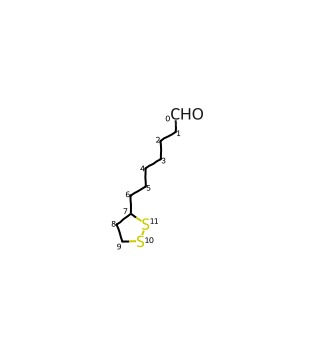 O=CCCCCCCC1CCSS1